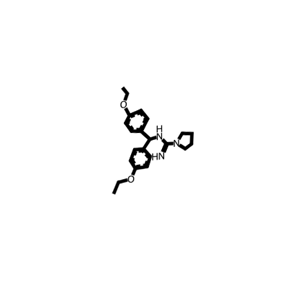 CCOc1ccc(C(NC(=N)N2CCCC2)c2ccc(OCC)cc2)cc1